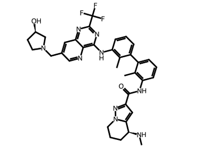 CN[C@H]1CCCn2nc(C(=O)Nc3cccc(-c4cccc(Nc5nc(C(F)(F)F)nc6cc(CN7CC[C@@H](O)C7)cnc56)c4C)c3C)cc21